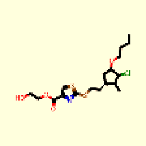 CCCCOC1C[C@H](CCSc2nc(C(=O)OCCO)cs2)C(C)C1Cl